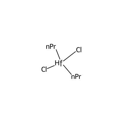 CC[CH2][Hf]([Cl])([Cl])[CH2]CC